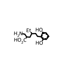 CCC(CCc1c(O)cccc1O)CC(CN)C(=O)O